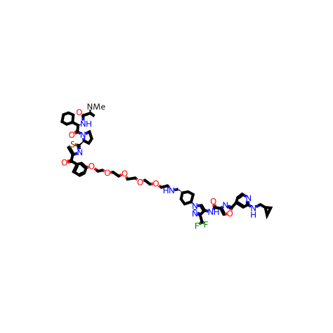 CN[C@@H](C)C(=O)N[C@H](C(=O)N1CCC[C@H]1c1nc(C(=O)c2cccc(OCCOCCOCCOCCOCCNC[C@H]3CC[C@H](n4cc(NC(=O)c5coc(-c6ccnc(NCC7CC7)c6)n5)c(C(F)F)n4)CC3)c2)cs1)C1CCCCC1